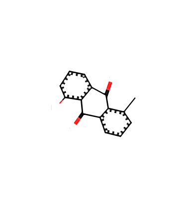 Cc1cccc2c1C(=O)c1cccc(O)c1C2=O